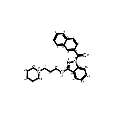 O=C(c1ccc2ccccc2c1)n1nc(OCCCN2CCCCC2)c2ccccc21